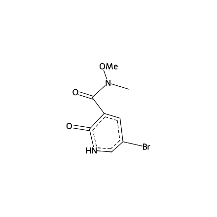 CON(C)C(=O)c1cc(Br)c[nH]c1=O